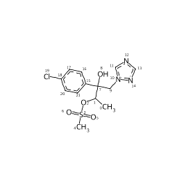 CC(OS(C)(=O)=O)C(O)(Cn1cncn1)c1ccc(Cl)cc1